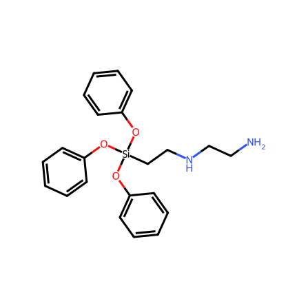 NCCNCC[Si](Oc1ccccc1)(Oc1ccccc1)Oc1ccccc1